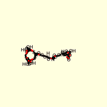 O=C(CCc1cn(C(=O)OCCOCCNC(=O)c2ccc(-c3c4ccc(=O)cc-4oc4cc(O)ccc34)c(C(=O)O)c2)cn1)NCCOCCOCCNC(=O)c1cc2cc(c1)SSc1ccc3c(c1)C1c4ccc(cc4C3C(C(=O)O)C1C(=O)O)SSc1ccc3c(c1)C1c4ccc(cc4C3C(C(=O)O)C1C(=O)O)SS2